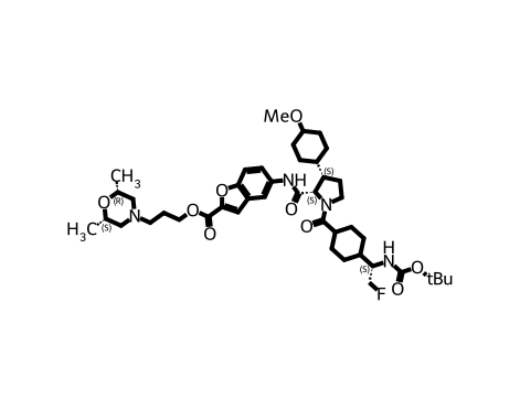 COC1CCC([C@@H]2CCN(C(=O)C3CCC([C@@H](CF)NC(=O)OC(C)(C)C)CC3)[C@@H]2C(=O)Nc2ccc3oc(C(=O)OCCCN4C[C@@H](C)O[C@@H](C)C4)cc3c2)CC1